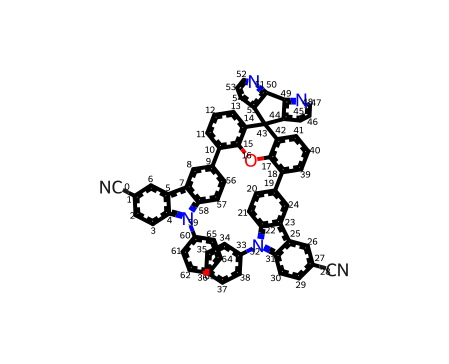 N#Cc1ccc2c(c1)c1cc(-c3cccc4c3Oc3c(-c5ccc6c(c5)c5cc(C#N)ccc5n6-c5ccccc5)cccc3C43c4cccnc4-c4ncccc43)ccc1n2-c1ccccc1